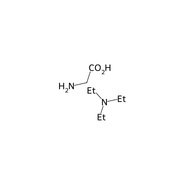 CCN(CC)CC.NCC(=O)O